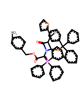 CC(=O)OC(c1cccs1)C1C(=O)N(C(C(=O)OCc2ccc([N+](=O)[O-])cc2)=P(c2ccccc2)(c2ccccc2)c2ccccc2)C1SC(c1ccccc1)(c1ccccc1)c1ccccc1